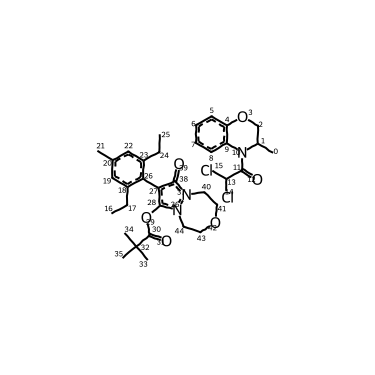 CC1COc2ccccc2N1C(=O)C(Cl)Cl.CCc1cc(C)cc(CC)c1-c1c(OC(=O)C(C)(C)C)n2n(c1=O)CCOCC2